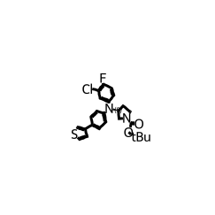 CC(C)(C)OC(=O)N1CC[C@H](N(c2ccc(-c3ccsc3)cc2)c2ccc(F)c(Cl)c2)C1